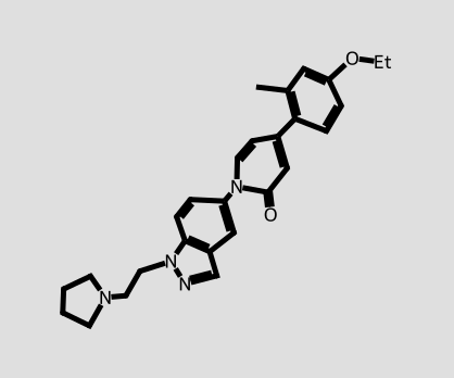 CCOc1ccc(-c2ccn(-c3ccc4c(cnn4CCN4CCCC4)c3)c(=O)c2)c(C)c1